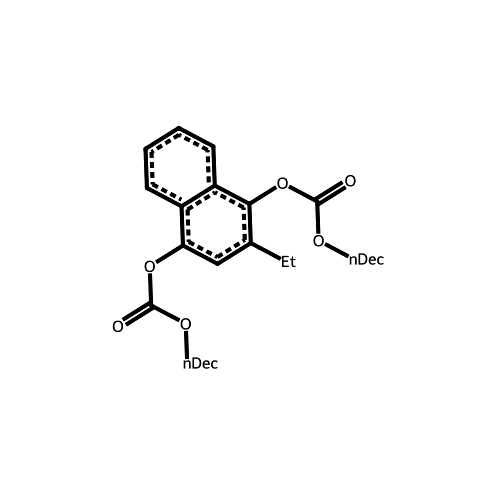 CCCCCCCCCCOC(=O)Oc1cc(CC)c(OC(=O)OCCCCCCCCCC)c2ccccc12